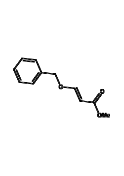 COC(=O)C=COCc1ccccc1